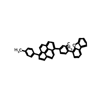 Cc1ccc(-c2ccc3ccc4c(-c5ccc(-c6cccc7c6oc6ccccc67)c(C)c5)ccc5ccc2c3c54)cc1